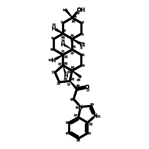 CC[C@]12CC[C@@](C)(O)C[C@H]1CC[C@H]1[C@@H]3CC[C@H](C(=O)Cn4cnc5ccccc54)[C@@]3(C)CC[C@@H]12